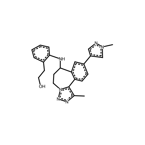 Cc1nnn2c1-c1ccc(-c3cnn(C)c3)cc1C(Nc1ccccc1CCO)CC2